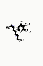 CC/C=C\CC/C=C/CO.Cc1occc(=O)c1O